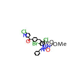 COC(CNC(=O)N(N=Cc1ccccc1)c1cc(Cl)c(Cc2ccc(C(=O)c3ccc(Cl)nc3)cc2)c(Br)c1)OC